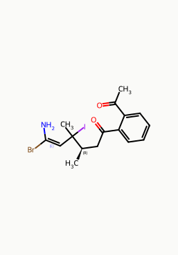 CC(=O)c1ccccc1C(=O)C[C@@H](C)C(C)(I)/C=C(\N)Br